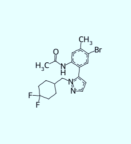 CC(=O)Nc1cc(C)c(Br)cc1-c1ccnn1CC1CCC(F)(F)CC1